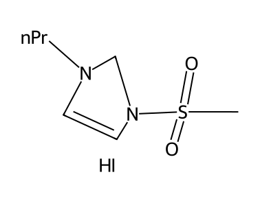 CCCN1C=CN(S(C)(=O)=O)C1.I